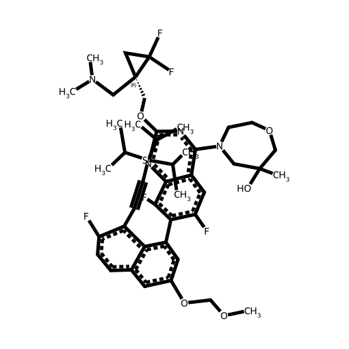 COCOc1cc(-c2c(F)cc3c(N4CCOCC(C)(O)C4)nc(OC[C@]4(CN(C)C)CC4(F)F)nc3c2F)c2c(C#C[Si](C(C)C)(C(C)C)C(C)C)c(F)ccc2c1